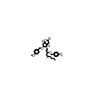 CCCC[C@H](C)CC(/C=C/[C@H]1C(OCc2ccc(OC)cc2)C[C@@H]2OC(=O)C[C@@H]21)OCc1ccc(OC)cc1